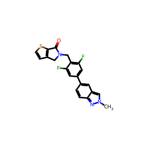 Cn1cc2cc(-c3cc(F)c(CN4Cc5ccsc5C4=O)c(F)c3)ccc2n1